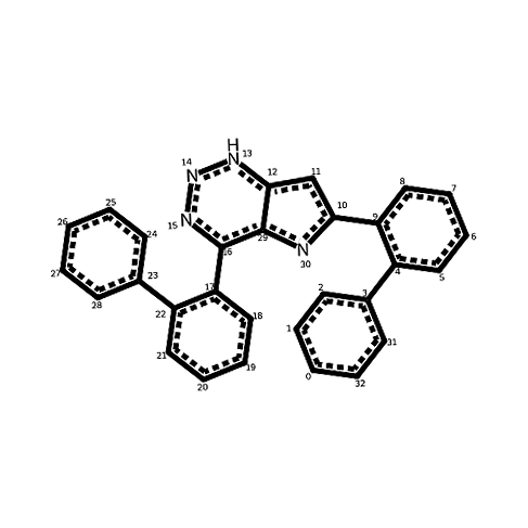 c1ccc(-c2ccccc2-c2cc3[nH]nnc(-c4ccccc4-c4ccccc4)c-3n2)cc1